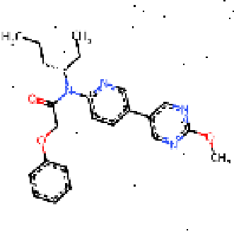 CCC[C@H](CC)N(C(=O)COc1ccccc1)c1ccc(-c2cnc(OC)nc2)cn1